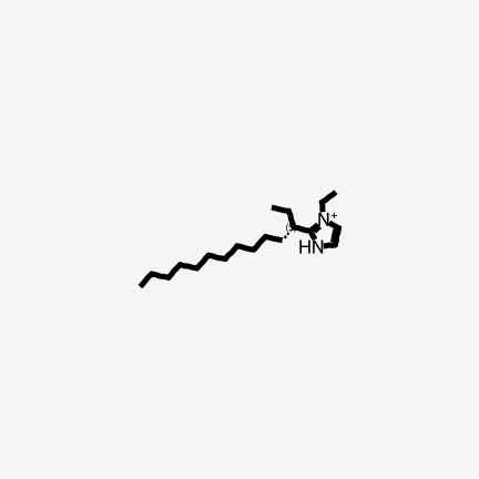 CCCCCCCCCCC[C@H](CC)c1[nH]cc[n+]1CC